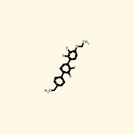 CCOc1ccc(-c2ccc(-c3ccc(CC)cc3)c(F)c2F)c(F)c1F